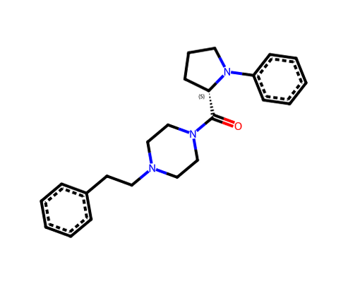 O=C([C@@H]1CCCN1c1ccccc1)N1CCN(CCc2ccccc2)CC1